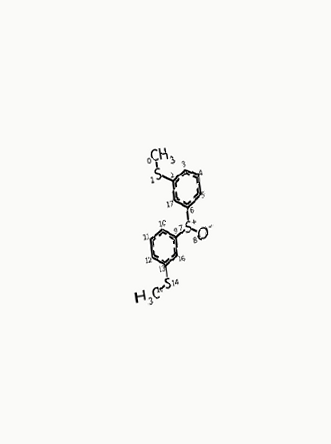 CSc1cccc([S+]([O-])c2cccc(SC)c2)c1